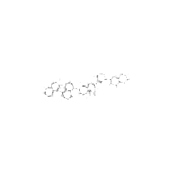 c1cc(-c2ccc3ccccc3c2)cc(-c2cnc3ccc(-c4ccc5c6c(cccc46)-c4c-5ccc5ccccc45)cc3c2)c1